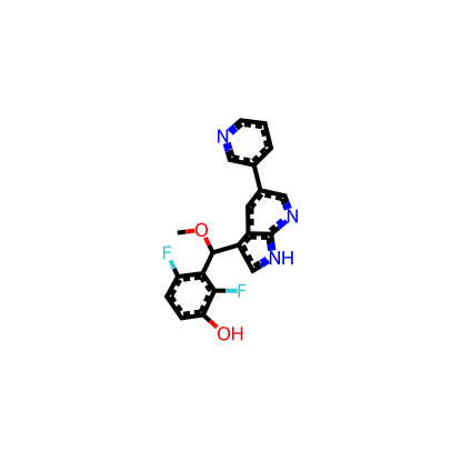 COC(c1c(F)ccc(O)c1F)c1c[nH]c2ncc(-c3cccnc3)cc12